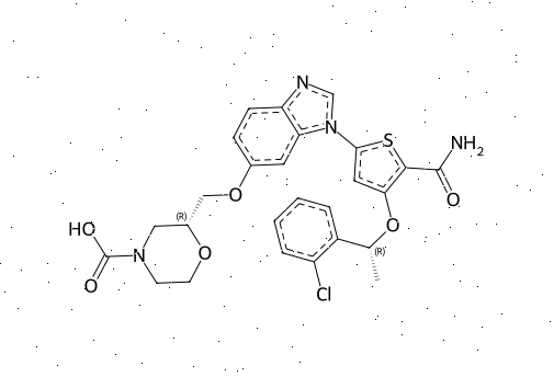 C[C@@H](Oc1cc(-n2cnc3ccc(OC[C@H]4CN(C(=O)O)CCO4)cc32)sc1C(N)=O)c1ccccc1Cl